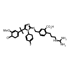 COC1=CC(C(C)(C)c2cnc(SCc3ccc(CCCNC(N)N)c(C(=O)O)c3)n2C2C=CC(F)=CC2)=CCC1Cl